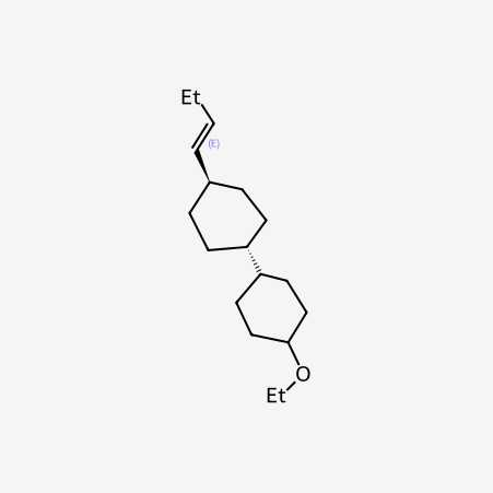 CC/C=C/[C@H]1CC[C@H](C2CCC(OCC)CC2)CC1